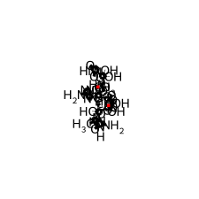 CC[C@H]1[C@@H](O)[C@H](n2c[n+](C)c3c(=O)[nH]c(N)nc32)O[C@@H]1COP(=O)(O)OP(=O)(O)OP(=O)(O)OC[C@H]1O[C@@H](n2cnc3c(N)ncnc32)[C@H](OC)[C@@H]1OS(=O)(=O)NC[C@H]1O[C@@H](n2ccc(=O)[nH]c2=O)[C@H](O)[C@@H]1O